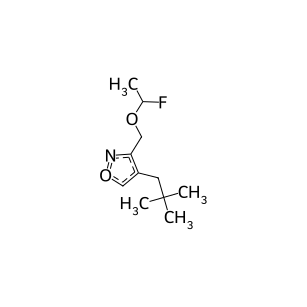 CC(F)OCc1nocc1CC(C)(C)C